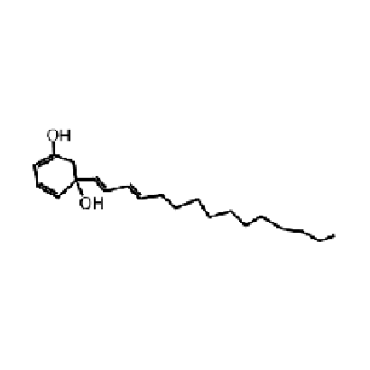 CCCCCCCCCCCC=CC=CC1(O)C=CC=C(O)C1